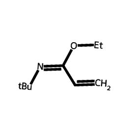 C=C/C(=N\C(C)(C)C)OCC